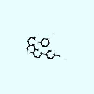 O=c1ccc2cnc3ccc(-c4ccc(CO)nc4)nc3c2n1-c1cccc(C(F)(F)F)c1